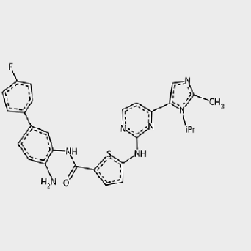 Cc1ncc(-c2ccnc(Nc3ccc(C(=O)Nc4cc(-c5ccc(F)cc5)ccc4N)s3)n2)n1C(C)C